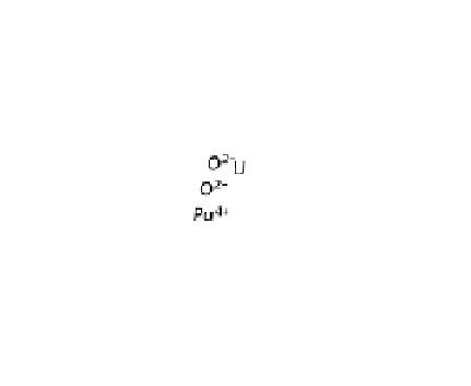 [O-2].[O-2].[Pu+4].[U]